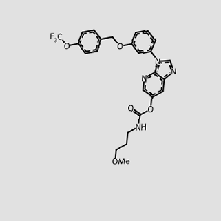 COCCCNC(=O)Oc1cnc2c(c1)ncn2-c1cccc(OCc2ccc(OC(F)(F)F)cc2)c1